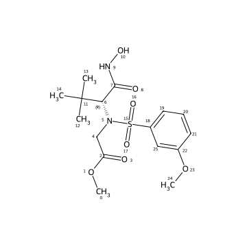 COC(=O)CN([C@@H](C(=O)NO)C(C)(C)C)S(=O)(=O)c1cccc(OC)c1